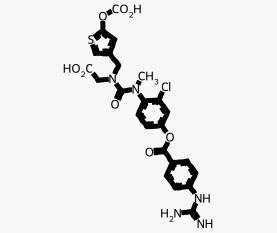 CN(C(=O)N(CC(=O)O)Cc1csc(OC(=O)O)c1)c1ccc(OC(=O)c2ccc(NC(=N)N)cc2)cc1Cl